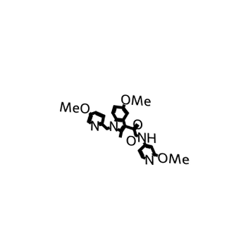 COc1ccc(Cn2c(C)c(C(=O)C(=O)Nc3ccnc(OC)c3)c3cc(OC)ccc32)nc1